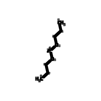 CCC[O][Zr][O]CCC